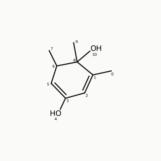 CC1=CC(O)=CC(C)C1(C)O